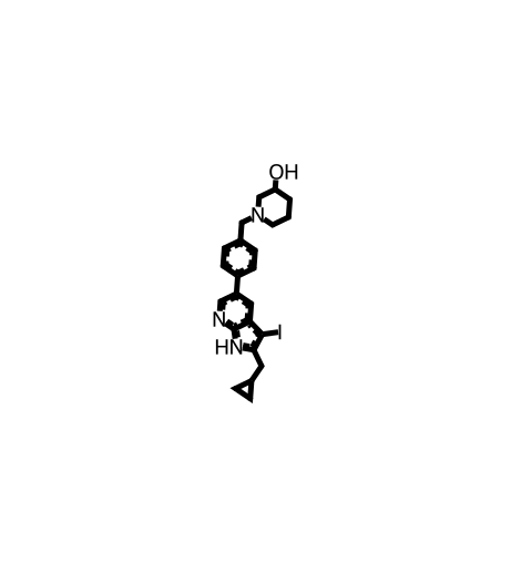 OC1CCCN(Cc2ccc(-c3cnc4[nH]c(CC5CC5)c(I)c4c3)cc2)C1